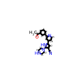 CC(=O)c1cccc(-c2cc(-c3cc(C#N)c(N4CCNCC4)[nH]3)ccn2)c1